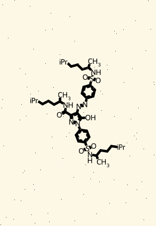 CC(C)CCCC(C)NC(=O)c1nn(-c2ccc(S(=O)(=O)NC(C)CCCC(C)C)cc2)c(O)c1N=Nc1ccc(S(=O)(=O)NC(C)CCCC(C)C)cc1